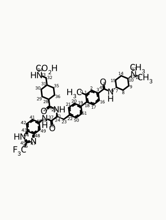 Cc1cc(C(=O)N[C@H]2CC[C@H](N(C)C)CC2)ccc1-c1ccc(C[C@H](NC(=O)C2CCC(CNC(=O)O)CC2)C(=O)Nc2ccc3[nH]c(C(F)(F)F)nc3c2)cc1